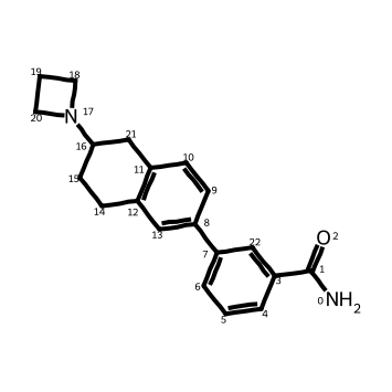 NC(=O)c1cccc(-c2ccc3c(c2)CCC(N2CCC2)C3)c1